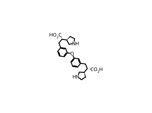 O=C(O)[C@@H](Cc1cccc(Oc2cccc(C[C@H](C(=O)O)[C@H]3CCNC3)c2)c1)[C@H]1CCNC1